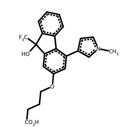 Cn1ccc(-c2cc(OCCCC(=O)O)cc3c2-c2ccccc2C3(O)C(F)(F)F)c1